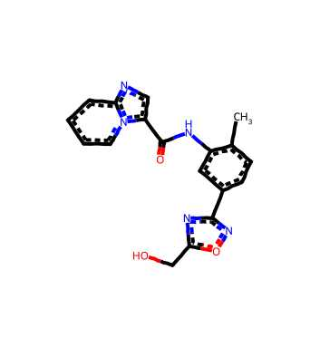 Cc1ccc(-c2noc(CO)n2)cc1NC(=O)c1cnc2ccccn12